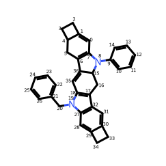 C1=C2CCC2CC2=C1N(c1ccccc1)C1Cc3c(n(Cc4ccccc4)c4cc5c(cc34)CC5)C=C21